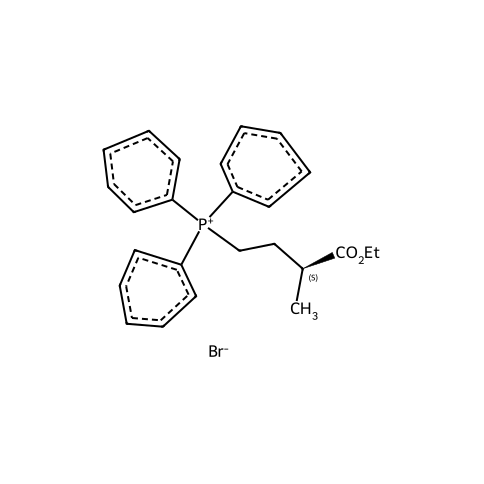 CCOC(=O)[C@@H](C)CC[P+](c1ccccc1)(c1ccccc1)c1ccccc1.[Br-]